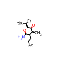 C=C(C(=O)/C=C(\CC)C(C)(C)C)C(CCC(C)=O)C(N)=O